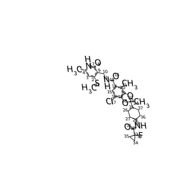 CSc1cc(C)[nH]c(=O)c1CNC(=O)c1cc(Cl)c2c(c1C)OC(C)(C1CCC(NC(=O)C3(F)CC3)CC1)O2